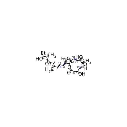 CCC(O)C(C)C1OC1CC(C)/C=C/C=C(\C)C1OC(=O)CC(O)/C=C/C(C)(O)C(O)/C=C/C1C